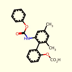 Cc1cc(C)c(-c2ccccc2OC(=O)O)c(NC(=O)Oc2ccccc2)c1